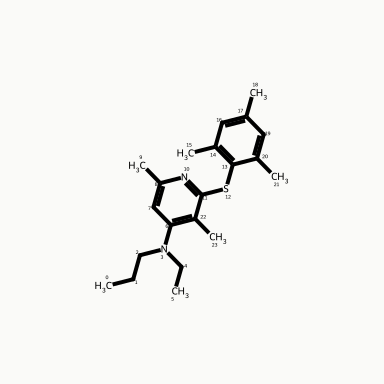 CCCN(CC)c1cc(C)nc(Sc2c(C)cc(C)cc2C)c1C